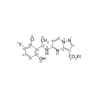 CCOC(=O)c1cnn2ccc(NC(C)c3c(O)ccc(F)c3Cl)nc12